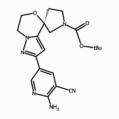 CC(C)(C)OC(=O)N1CC[C@@]2(C1)OCCn1nc(-c3cnc(N)c(C#N)c3)cc12